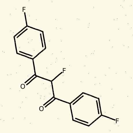 O=C(c1ccc(F)cc1)C(F)C(=O)c1ccc(F)cc1